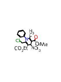 CCOC(=O)C1=C(CCl)N(c2ccccc2)C(C)=C(C(=O)OC)C1[N+](=O)[O-]